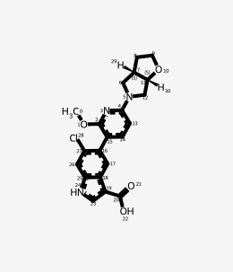 COc1nc(N2C[C@@H]3CCO[C@@H]3C2)ccc1-c1cc2c(C(=O)O)c[nH]c2cc1Cl